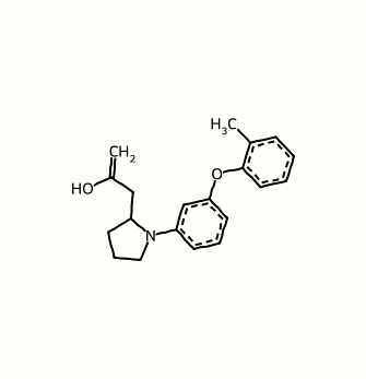 C=C(O)CC1CCCN1c1cccc(Oc2ccccc2C)c1